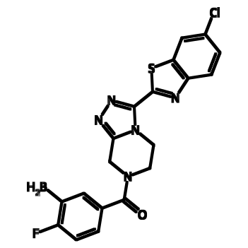 Bc1cc(C(=O)N2CCn3c(nnc3-c3nc4ccc(Cl)cc4s3)C2)ccc1F